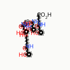 CC(C)(C)OC(=O)NC(Cc1ccccc1O)C(N)=O.NC(=O)CCc1ccccc1O.O=C(CCc1ccccc1O)NCCCCCCO.O=C(O)CCCCCNC(=O)CCc1ccccc1O